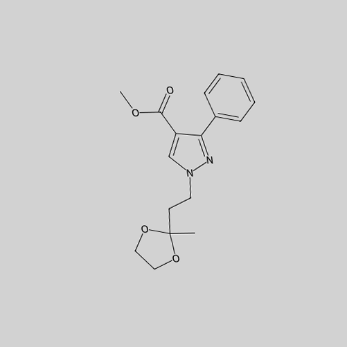 COC(=O)c1cn(CCC2(C)OCCO2)nc1-c1ccccc1